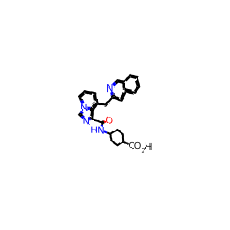 O=C(NC1CCC(C(=O)O)CC1)c1ncn2cccc(Cc3cc4ccccc4cn3)c12